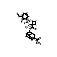 CN(C1(C(=O)NC2C3CC4CC2CC(C(N)=O)(C4)C3)CCC1)S(=O)(=O)c1cccc(CI)c1F